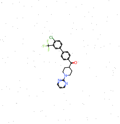 O=C(c1ccc(-c2ccc(Cl)c(C(F)(F)F)c2)cc1)C1CCN(c2ncccn2)CC1